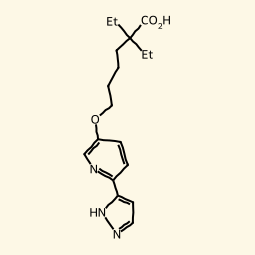 CCC(CC)(CCCCOc1ccc(-c2ccn[nH]2)nc1)C(=O)O